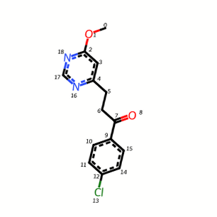 COc1cc(CCC(=O)c2ccc(Cl)cc2)ncn1